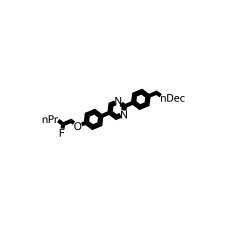 CCCCCCCCCCCc1ccc(-c2ncc(-c3ccc(OCC(F)CCC)cc3)cn2)cc1